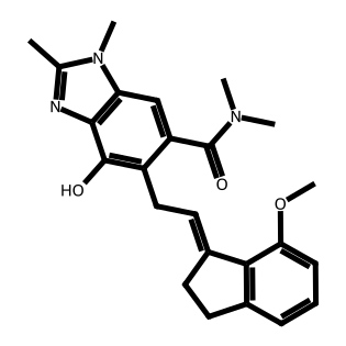 COc1cccc2c1C(=CCc1c(C(=O)N(C)C)cc3c(nc(C)n3C)c1O)CC2